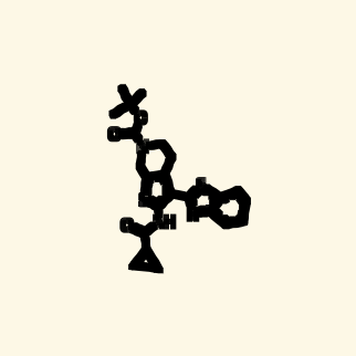 CC(C)(C)OC(=O)N1CCc2c(sc(NC(=O)C3CC3)c2-c2nc3ccccc3s2)C1